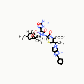 CC1CCC2C(C)(C)C2(OC(C)(C)ON=C(C(=O)NC2C(=O)N3C(C(=O)[O-])=C(C(C)[n+]4ccc5nc(-c6ccccc6)[nH]c5c4)CS[C@@H]23)c2noc(N)n2)C1